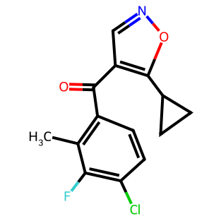 Cc1c(C(=O)c2cnoc2C2CC2)ccc(Cl)c1F